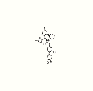 Cc1ccc(C(NC(=O)Cc2ccc(N3CCS(=O)(=O)CC3)c(O)c2)c2ccc(C)o2)c(N2CCCCC2)c1